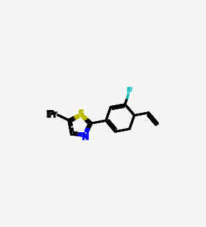 C=CC1CC=C(c2ncc(C(C)C)s2)C=C1F